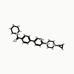 O=C(c1ccc(-c2ccc(N3CCN(C4CC4)CC3)nc2)cc1)N1CCCCC1